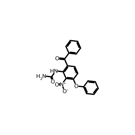 NC(=O)Nc1c(C(=O)c2ccccc2)ccc(Oc2ccccc2)c1[N+](=O)[O-]